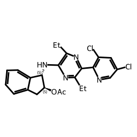 CCc1nc(-c2ncc(Cl)cc2Cl)c(CC)nc1N[C@H]1c2ccccc2C[C@@H]1OC(C)=O